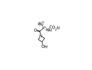 CC[C@H](C)[C@H](NC(=O)O)C(=O)N1CC(O)C1